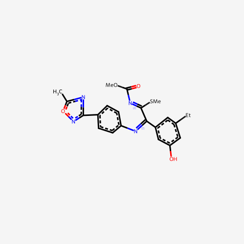 CCc1cc(O)cc(C(=N/c2ccc(-c3noc(C)n3)cc2)/C(=N/C(=O)OC)SC)c1